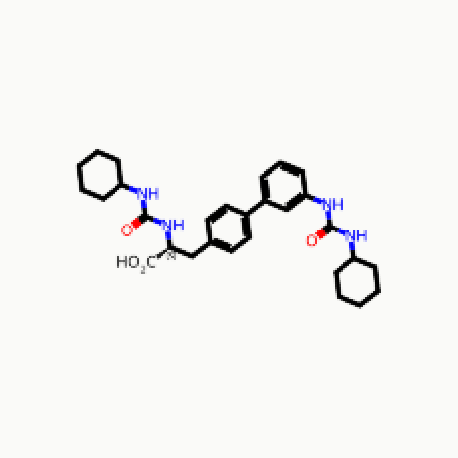 O=C(Nc1cccc(-c2ccc(C[C@H](NC(=O)NC3CCCCC3)C(=O)O)cc2)c1)NC1CCCCC1